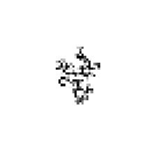 Cc1cc(C2=CC(CS(C)(=O)=O)C(=O)C=C2Oc2ccc(F)cc2F)cn(CC2CC2)c1=O